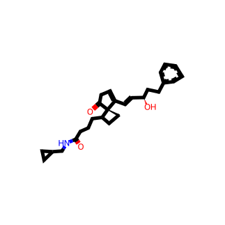 O=C(CCCC1CC[C@]12C(=O)CC=C2/C=C/[C@@H](O)CCc1ccccc1)NCC1CC1